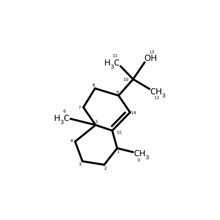 CC1CCCC2(C)CCC(C(C)(C)O)C=C12